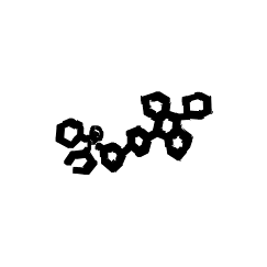 C/C=C\C(=C/C)P(=O)(c1cccc(-c2ccc(-c3c4ccccc4c(C4=CC=CCC4)c4ccccc34)cc2)c1)C1C=CC=CC1